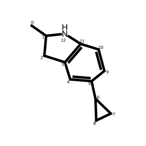 CC1Cc2cc(C3CC3)ccc2N1